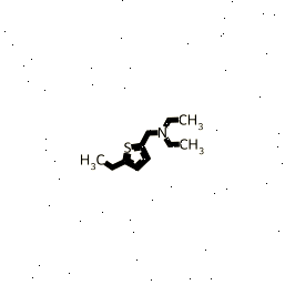 CCc1ccc(CN(CC)CC)s1